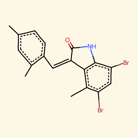 Cc1ccc(C=C2C(=O)Nc3c(Br)cc(Br)c(C)c32)c(C)c1